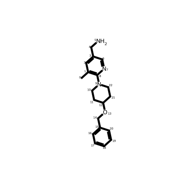 Cc1cc(CN)cnc1N1CCC(OCc2ccccc2)CC1